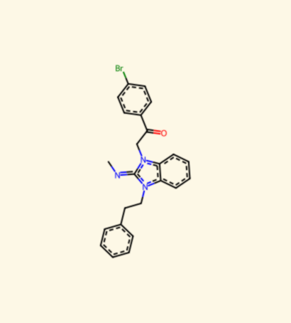 C/N=c1/n(CCc2ccccc2)c2ccccc2n1CC(=O)c1ccc(Br)cc1